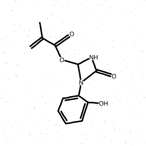 C=C(C)C(=O)OC1NC(=O)N1c1ccccc1O